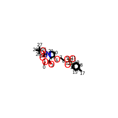 COC(=O)[C@@H]1[C@@H](OCCOS(=O)(=O)c2ccc(C)cc2)CCN1C(=O)OC(C)(C)C